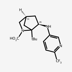 CC(C)(C)C12C[C@H](C[C@H]1Nc1ccc(C(F)(F)F)nc1)CN2C(=O)O